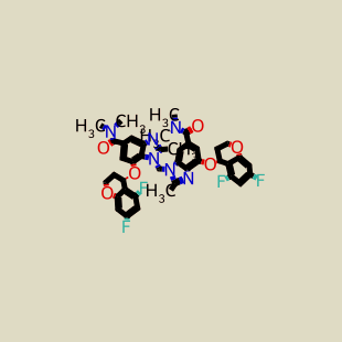 Cc1nc2c(O[C@H]3CCOc4cc(F)cc(F)c43)cc(C(=O)N(C)C)cc2n1Cn1c(C)nc2cc(C(=O)N(C)C)cc(O[C@H]3CCOc4cc(F)cc(F)c43)c21